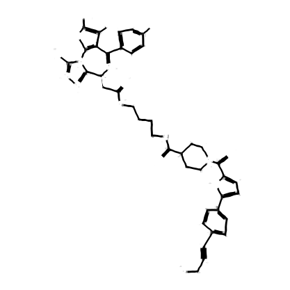 Cc1sc2c(c1C)C(c1ccc(Cl)cc1)=N[C@@H](CC(=O)NCCCCNC(=O)C1CCN(C(=O)c3ccc(-c4ccc(C#CCN)cc4)o3)CC1)c1nnc(C)n1-2